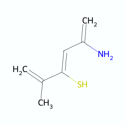 C=C(N)C=C(S)C(=C)C